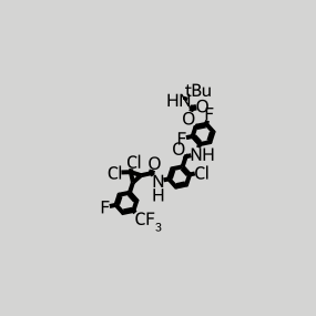 CC(C)(C)NC(=O)Oc1c(F)ccc(NC(=O)c2cc(NC(=O)C3C(c4cc(F)cc(C(F)(F)F)c4)C3(Cl)Cl)ccc2Cl)c1F